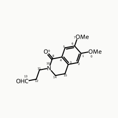 COc1cc2c(cc1OC)C(=O)N(CCC=O)CC2